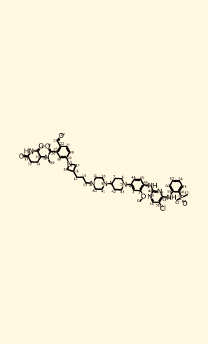 COc1cc(N2CCC(N3CCN(CCCC4CN(c5ccc(C=O)c(C(=O)N(C)C6CCC(=O)NC6=O)c5)C4)CC3)CC2)ccc1Nc1ncc(Cl)c(Nc2ccccc2P(C)(C)=O)n1